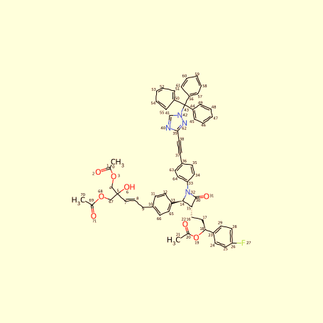 CC(=O)OCC(O)(/C=C/Cc1ccc([C@@H]2[C@@H](CC[C@H](OC(C)=O)c3ccc(F)cc3)C(=O)N2c2ccc(C#Cc3ncn(C(c4ccccc4)(c4ccccc4)c4ccccc4)n3)cc2)cc1)COC(C)=O